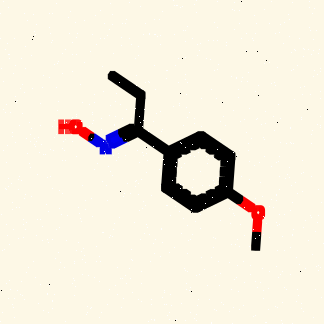 CCC(=NO)c1ccc(OC)cc1